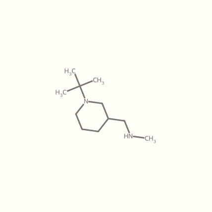 CNCC1CCCN(C(C)(C)C)C1